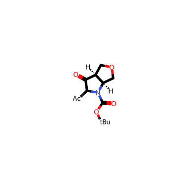 CC(=O)C1C(=O)[C@H]2COC[C@H]2N1C(=O)OC(C)(C)C